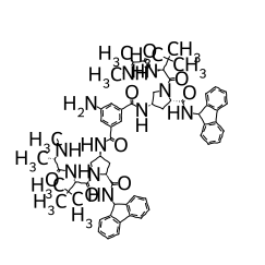 CN[C@@H](C)C(=O)N[C@H](C(=O)N1C[C@@H](NC(=O)c2cc(N)cc(C(=O)N[C@H]3C[C@@H](C(=O)NC4c5ccccc5-c5ccccc54)N(C(=O)[C@@H](NC(=O)[C@H](C)NC)C(C)(C)C)C3)c2)C[C@H]1C(=O)NC1c2ccccc2-c2ccccc21)C(C)(C)C